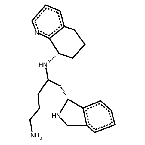 NCCCC(C[C@H]1NCc2ccccc21)N[C@H]1CCCc2cccnc21